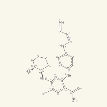 N=C/N=C\Nc1ccc(Nc2nc(N[C@@H]3CCCC[C@@H]3N)c(F)cc2C(N)=O)cc1